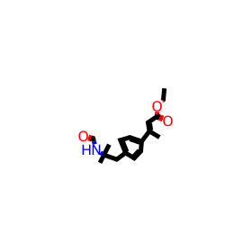 CCOC(=O)C=C(C)c1ccc(CC(C)(C)NC=O)cc1